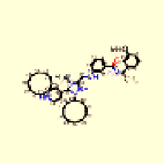 COc1cccc([C@@H](C)NC(=O)c2cccc(NCC3NN(C4CCCCCCCCC4)C(C4CCNC5(CCCCCCCCC5)C4)N3C)c2)c1